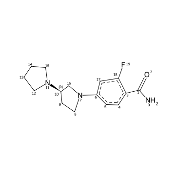 NC(=O)c1ccc(N2CC[C@@H](N3CCCC3)C2)cc1F